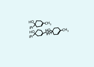 CC1=CCC(O)(C(C)C)CC1.CC1=CCC(O)(C(C)C)CC1.CC1=CCC(O)(C(C)C)CC1